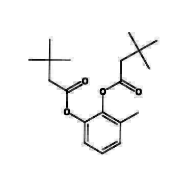 Cc1cccc(OC(=O)CC(C)(C)C)c1OC(=O)CC(C)(C)C